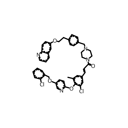 Cc1cc(/C=C/C(=O)N2CCN(Cc3ccc(CCOc4ccc5ncccc5c4)cc3)CC2)cc(Cl)c1Oc1ccc(OCc2ccccc2Cl)cn1